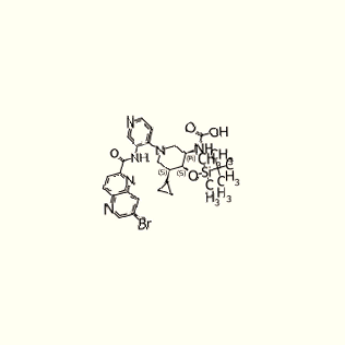 CC(C)(C)[Si](C)(C)O[C@H]1[C@@H](C2CC2)CN(c2ccncc2NC(=O)c2ccc3ncc(Br)cc3n2)C[C@H]1NC(=O)O